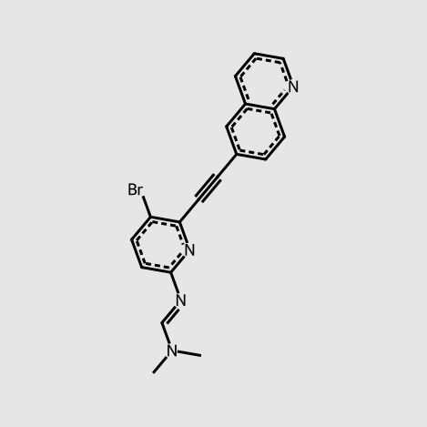 CN(C)C=Nc1ccc(Br)c(C#Cc2ccc3ncccc3c2)n1